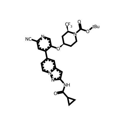 CC(C)(C)OC(=O)N1CC[C@@H](Oc2cnc(C#N)cc2-c2ccn3nc(NC(=O)C4CC4)cc3c2)C[C@H]1C(F)(F)F